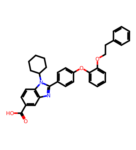 O=C(O)c1ccc2c(c1)nc(-c1ccc(Oc3ccccc3OCCc3ccccc3)cc1)n2C1CCCCC1